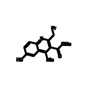 CCCCc1c(C(=O)OC)c(CC(C)C)nc2ccc(O)cc12